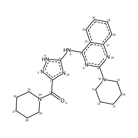 O=C(c1n[nH]c(Nc2nc(N3CCCCC3)nc3ccccc23)n1)N1CCCCC1